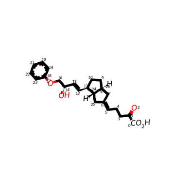 O=C(O)C(=O)CC/C=C1\C[C@@H]2CC[C@H](/C=C/[C@H](O)COc3ccccc3)[C@H]2C1